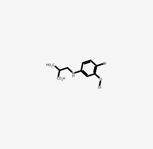 CCOc1cc(NCC(C(=O)O)C(=O)O)ccc1Br